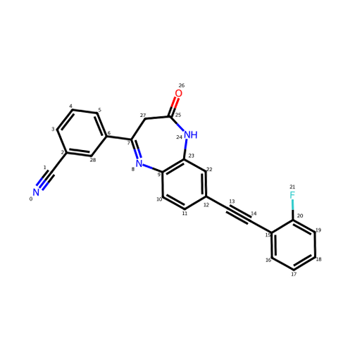 N#Cc1cccc(C2=Nc3ccc(C#Cc4ccccc4F)cc3NC(=O)C2)c1